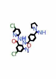 CN(C)c1cc(Cl)cc(C(=O)Nc2ccc(Cl)cn2)c1NC(=O)c1ccc(C(=N)N2CCCC2)cc1